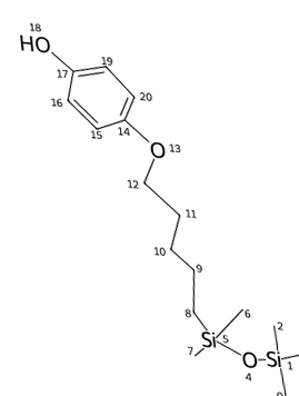 C[Si](C)(C)O[Si](C)(C)CCCCCOc1ccc(O)cc1